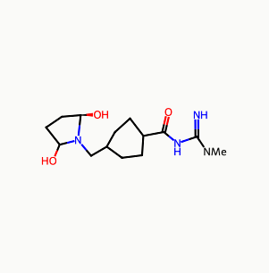 CNC(=N)NC(=O)C1CCC(CN2C(O)CC[C@H]2O)CC1